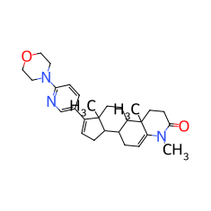 CN1C(=O)CCC2(C)C1=CCC1C3CC=C(c4ccc(N5CCOCC5)nc4)C3(C)CCC12